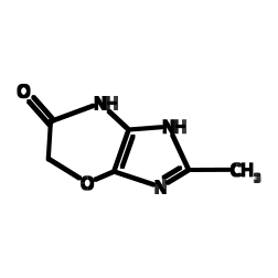 Cc1nc2c([nH]1)NC(=O)CO2